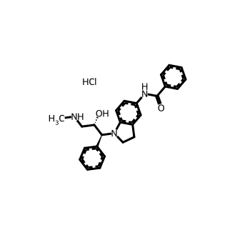 CNC[C@H](O)[C@H](c1ccccc1)N1CCc2cc(NC(=O)c3ccccc3)ccc21.Cl